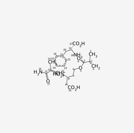 C=C(C)C(=O)OCCC(CC(=O)O)C(=O)O.C=C(C)C(N)=O.N[C@H](Cc1ccccc1)C(=O)O